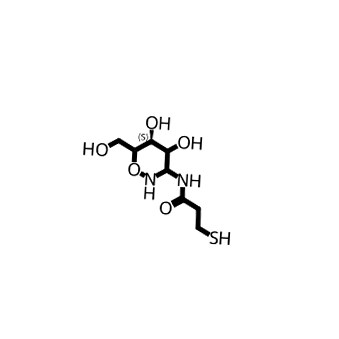 O=C(CCS)NC1NOC(CO)[C@@H](O)C1O